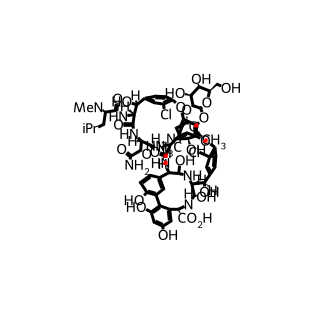 CN[C@H](CC(C)C)C(=O)N[C@H]1C(=O)N[C@@H](CC(N)=O)C(=O)N[C@H]2C(=O)N[C@@H]3c4ccc(O)c(c4)-c4c(O)cc(O)cc4[C@@H](C(=O)O)N[C@H](O)[C@@H](NC3O)[C@H](O)c3ccc(c(Cl)c3)Oc3cc2cc(c3OC2O[C@H](CO)[C@@H](O)[C@H](O)[C@H]2O[C@H]2C[C@](C)(N)[C@H](O)[C@H](C)O2)Oc2ccc(cc2Cl)[C@H]1O